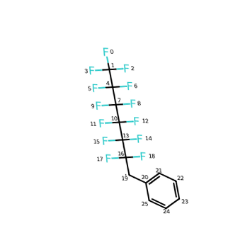 FC(F)(F)C(F)(F)C(F)(F)C(F)(F)C(F)(F)C(F)(F)[CH]c1ccccc1